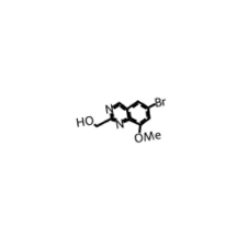 COc1cc(Br)cc2cnc(CO)nc12